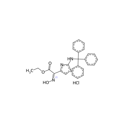 CCOC(=O)/C(=N\O)c1csc(NC(c2ccccc2)(c2ccccc2)c2ccccc2)n1.Cl